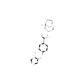 O=C(N[C@@H]1C[C@H]2CCN(C2)C1)c1ccc(Oc2cnc[nH]2)cc1